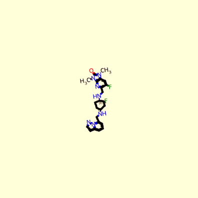 Cn1c(=O)n(C)c2nc(CN[C@@H]3CC[C@H](NCc4cccc5ccnn45)C[C@@H]3F)c(F)cc21